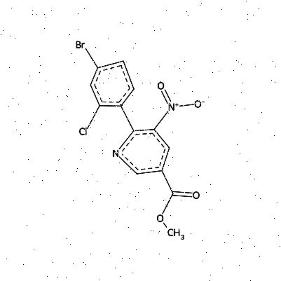 COC(=O)c1cnc(-c2ccc(Br)cc2Cl)c([N+](=O)[O-])c1